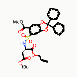 C=CCOC(=O)[C@H](CC(=O)OC(C)(C)C)NS(=O)(=O)c1cc2c(cc1C(=O)OC)OC(c1ccccc1)(c1ccccc1)O2